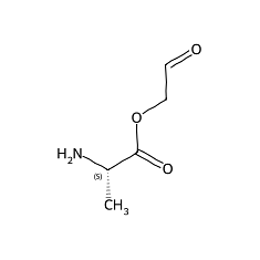 C[C@H](N)C(=O)OCC=O